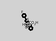 Cc1ccccc1S(=O)(=O)Nc1cc(-c2ccc(F)cc2)sc1C(=O)O